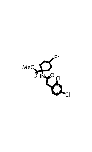 COC(=O)C1(NC(=O)Cc2ccc(Cl)cc2Cl)CCC(C(C)C)CC1